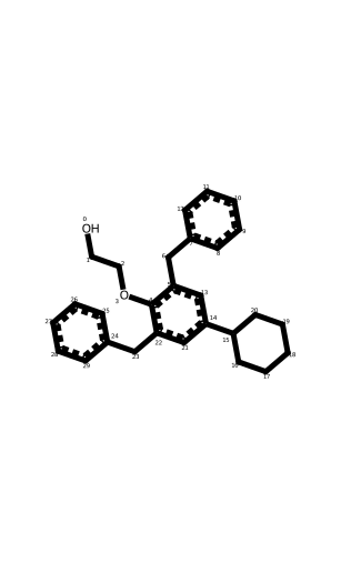 OCCOc1c(Cc2ccccc2)cc(C2CCCCC2)cc1Cc1ccccc1